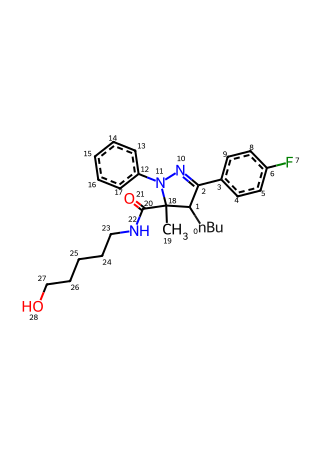 CCCCC1C(c2ccc(F)cc2)=NN(c2ccccc2)C1(C)C(=O)NCCCCCO